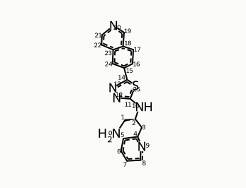 NC[C@H](Cc1ccccn1)Nc1nnc(-c2ccc3cnccc3c2)s1